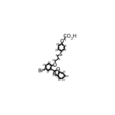 O=C(O)COc1ccc(SCCCOc2ccc(Br)cc2-c2nc3ccccc3o2)cc1